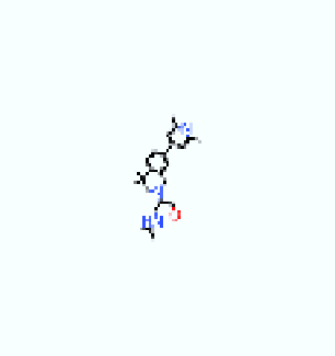 Cc1cc(-c2ccc3c(c2)CN(C(C=O)CNC(C)C)CC3(C)C)cc(C)n1